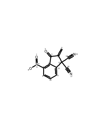 C=C1C(=O)c2c([N+](=O)[O-])cccc2C1(C#N)C#N